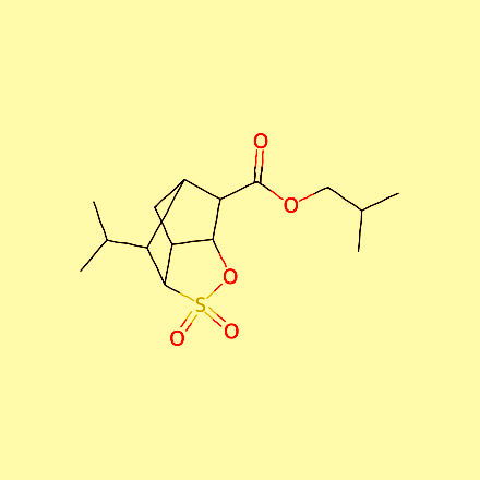 CC(C)COC(=O)C1C2CC3C1OS(=O)(=O)C3C2C(C)C